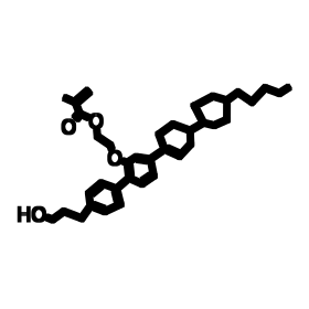 C=C(C)C(=O)OCCOc1cc(C2=CCC(C3CCC(CCCCC)CC3)CC2)ccc1-c1ccc(CCCO)cc1